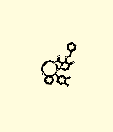 O=C1c2c(OCc3ccccc3)c(=O)ccn2N2CN1C/C=C\COc1ccccc1C2c1ccc(F)c(F)c1